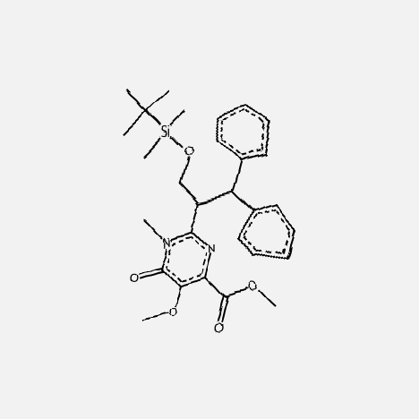 COC(=O)c1nc(C(CO[Si](C)(C)C(C)(C)C)C(c2ccccc2)c2ccccc2)n(C)c(=O)c1OC